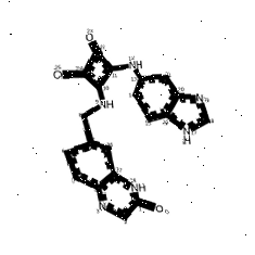 O=c1cnc2ccc(CNc3c(Nc4ccc5[nH]cnc5c4)c(=O)c3=O)cc2[nH]1